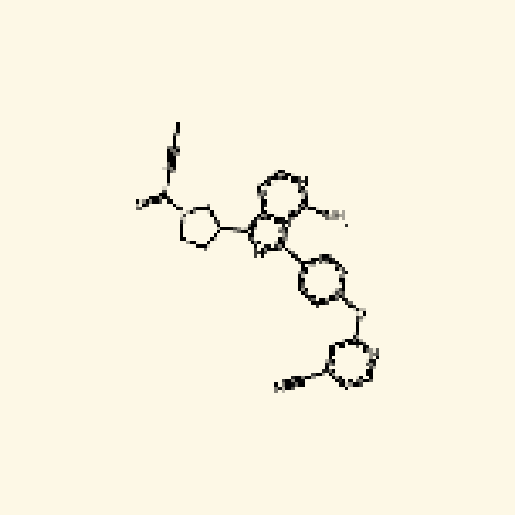 CC#CC(=O)N1CCC(c2nc(-c3ccc(Oc4cc(C#N)ccn4)nc3)n3c(N)nccc23)C1